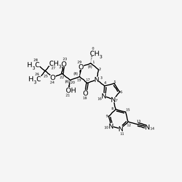 C[C@@H]1CN(c2ccn(-c3cnnc(C#N)c3)n2)C(=O)[C@@H]([C@@H](O)C(=O)OC(C)(C)C)O1